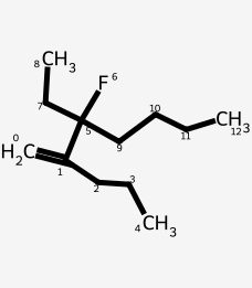 C=C(CCC)C(F)(CC)CCCC